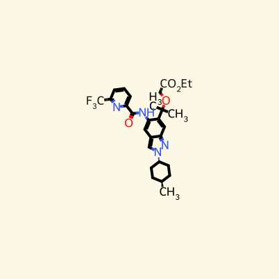 CCOC(=O)COC(C)(C)c1cc2nn([C@H]3CC[C@H](C)CC3)cc2cc1NC(=O)c1cccc(C(F)(F)F)n1